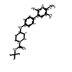 CC(C)(C)OC(=O)N1CCC(Oc2ccc(-c3cc(Cl)c(N)nc3F)cc2)CC1